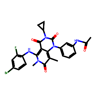 CC(=O)Nc1cccc(-n2c(=O)n(C3CC3)c(=O)c3c(Nc4ccc(Br)cc4F)n(C)c(=O)c(C)c32)c1